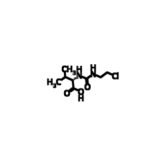 CC(C)[C@H](NC(=O)NCCCl)C(=O)O